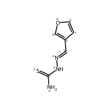 NC(=S)N/N=C/c1ccoc1